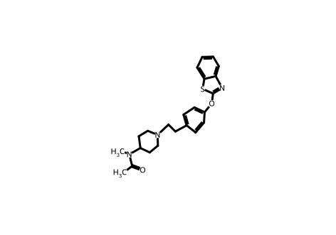 CC(=O)N(C)C1CCN(CCc2ccc(Oc3nc4ccccc4s3)cc2)CC1